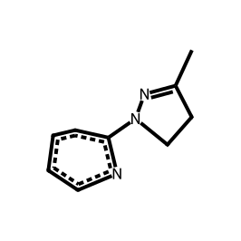 CC1=NN(c2ccccn2)CC1